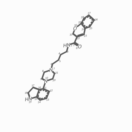 O=C(NCCCCN1CCN(c2cccc3c2CCN3)CC1)C1=Cc2ccccc2OC1